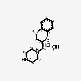 Cl.Cl.c1ccc2c(c1)OC[C@H](CN1CCNCC1)O2